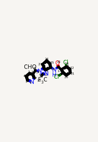 O=CC(c1cccnc1)n1c(C(F)(F)F)nc2c(NC(=O)c3c(Cl)cccc3Cl)cccc21